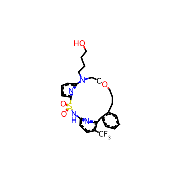 O=S1(=O)Nc2ccc(C(F)(F)F)c(n2)-c2ccccc2CCCOCCN(CCCCO)c2cccc1n2